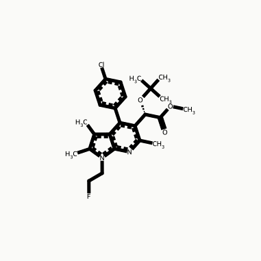 COC(=O)[C@@H](OC(C)(C)C)c1c(C)nc2c(c(C)c(C)n2CCF)c1-c1ccc(Cl)cc1